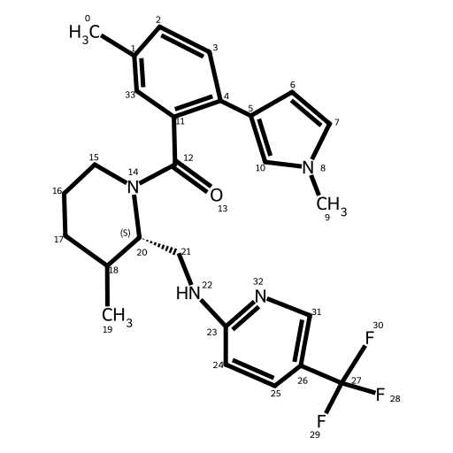 Cc1ccc(-c2ccn(C)c2)c(C(=O)N2CCCC(C)[C@H]2CNc2ccc(C(F)(F)F)cn2)c1